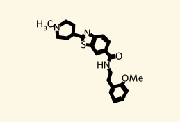 COc1ccccc1CCNC(=O)c1ccc2nc(C3CCN(C)CC3)sc2c1